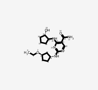 CCO[C@@H]1CC[C@@H](Nc2ncc(C(N)=O)c(NC3CCC[C@@H]3O)n2)C1